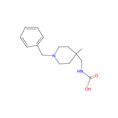 CC1(CNC(=O)O)CCN(Cc2ccccc2)CC1